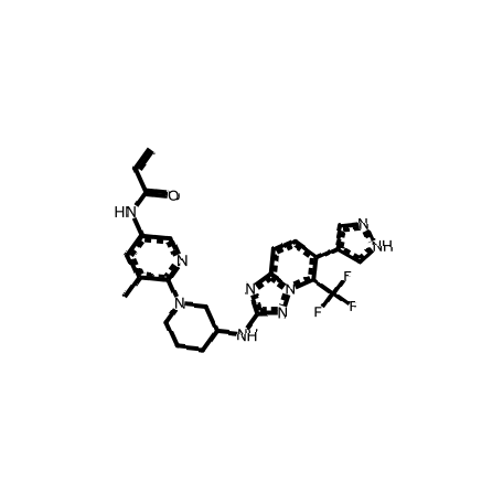 C=CC(=O)Nc1cnc(N2CCCC(Nc3nc4ccc(-c5cn[nH]c5)c(C(F)(F)F)n4n3)C2)c(C)c1